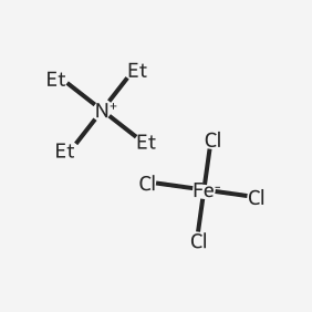 CC[N+](CC)(CC)CC.[Cl][Fe-]([Cl])([Cl])[Cl]